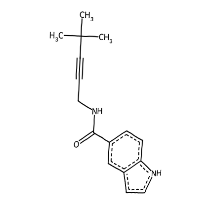 CC(C)(C)C#CCNC(=O)c1ccc2[nH]ccc2c1